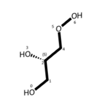 OC[C@H](O)COO